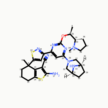 C[C@H](Oc1nc(-c2cc(C3(C)CCCc4sc(N)c(C#N)c43)sn2)cc(N2C[C@H]3CC[C@@H](C2)N3)n1)[C@@H]1CCCN1C